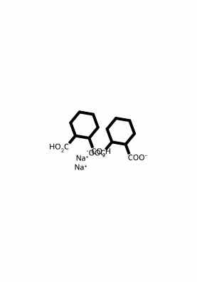 O=C(O)C1CCCCC1C(=O)O.O=C([O-])C1CCCCC1C(=O)[O-].[Na+].[Na+]